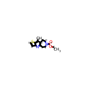 CCOC(=O)N1CCc2nc3ccsc3c(C)c2CC1